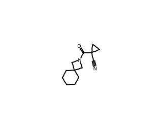 N#CC1(C(=O)N2CC3(CCCCC3)C2)CC1